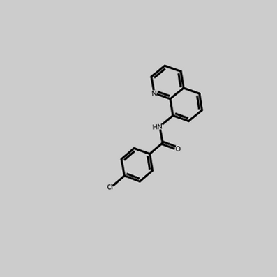 O=C(Nc1cccc2cccnc12)c1ccc(Cl)cc1